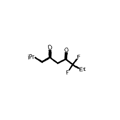 CCC(F)(F)C(=O)CC(=O)CC(C)C